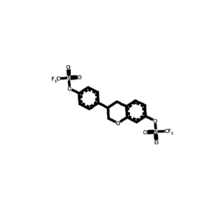 O=S(=O)(Oc1ccc(C2COc3cc(OS(=O)(=O)C(F)(F)F)ccc3C2)cc1)C(F)(F)F